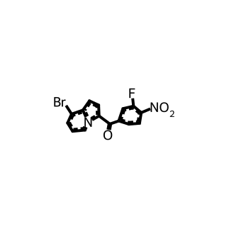 O=C(c1ccc([N+](=O)[O-])c(F)c1)c1ccc2c(Br)cccn12